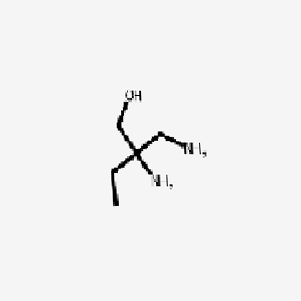 CCC(N)(CN)CO